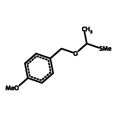 COc1ccc(COC(C)SC)cc1